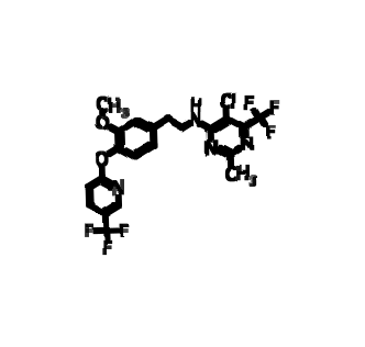 COc1cc(CCNc2nc(C)nc(C(F)(F)F)c2Cl)ccc1Oc1ccc(C(F)(F)F)cn1